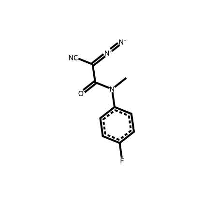 CN(C(=O)C(C#N)=[N+]=[N-])c1ccc(F)cc1